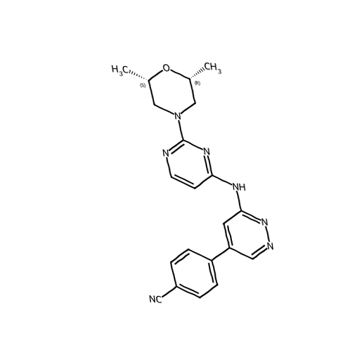 C[C@@H]1CN(c2nccc(Nc3cc(-c4ccc(C#N)cc4)cnn3)n2)C[C@H](C)O1